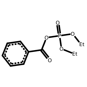 CCOP(=O)(OCC)OC(=O)c1ccccc1